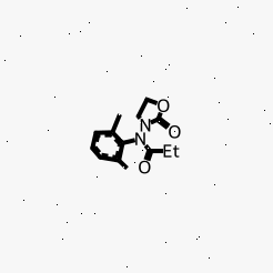 CCC(=O)N(c1c(C)cccc1C)N1CCOC1=O